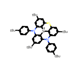 CC(C)(C)c1ccc(N2c3cc(C(C)(C)C)cc4c3[SiH]3c5c(cc(C(C)(C)C)cc5N(c5ccc(C(C)(C)C)cc5)c5cc(C(C)(C)C)cc2c53)S4)cc1